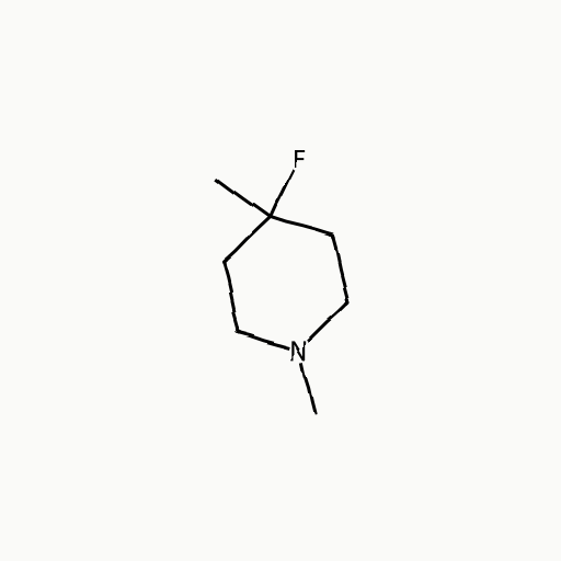 CN1CCC(C)(F)CC1